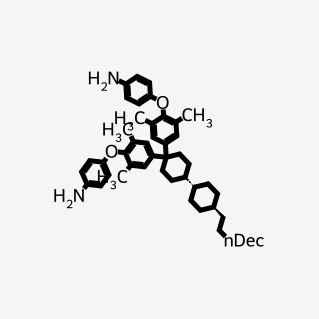 CCCCCCCCCCCC[C@H]1CC[C@H](C2CCC(c3cc(C)c(Oc4ccc(N)cc4)c(C)c3)(c3cc(C)c(Oc4ccc(N)cc4)c(C)c3)CC2)CC1